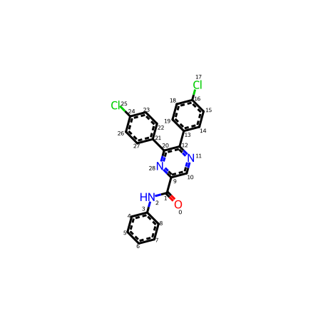 O=C(Nc1ccccc1)c1cnc(-c2ccc(Cl)cc2)c(-c2ccc(Cl)cc2)n1